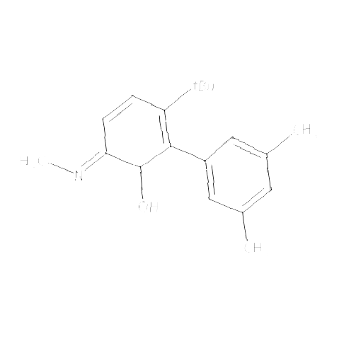 CN=C1C=CC(C(C)(C)C)=C(c2cc(C)cc(C)c2)C1O